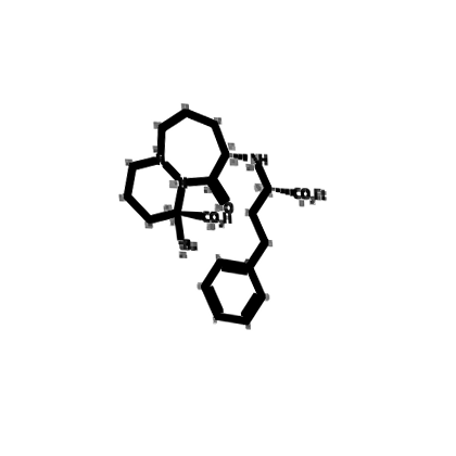 CCOC(=O)[C@H](CCc1ccccc1)N[C@H]1CCCN2CCC[C@@](C(=O)O)(C(C)(C)C)N2C1=O